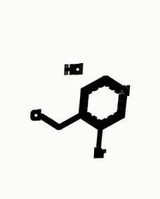 Cl.ClCc1ccncc1Br